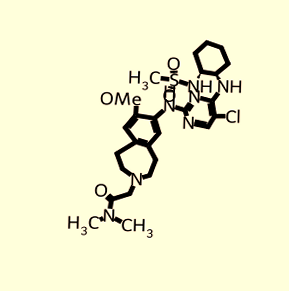 COc1cc2c(cc1Nc1ncc(Cl)c(N[C@@H]3CCCC[C@H]3NS(C)(=O)=O)n1)CCN(CC(=O)N(C)C)CC2